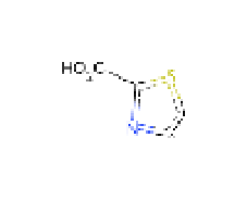 O=C(O)c1n[c]cs1